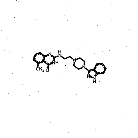 Cc1cccc2nc(NCCN3CCN(c4n[nH]c5ccccc45)CC3)[nH]c(=O)c12